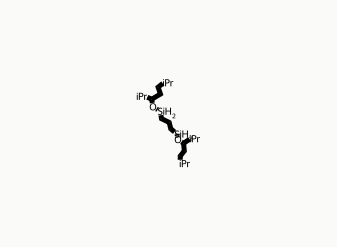 CC(C)CCC(O[SiH2]CCC[SiH2]OC(CCC(C)C)C(C)C)C(C)C